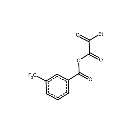 CCC(=O)C(=O)OC(=O)c1cccc(C(F)(F)F)c1